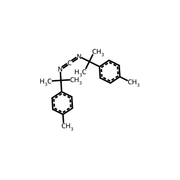 Cc1ccc(C(C)(C)N=C=NC(C)(C)c2ccc(C)cc2)cc1